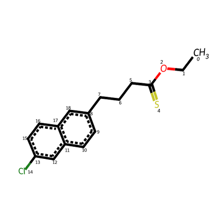 CCOC(=S)CCCc1ccc2cc(Cl)ccc2c1